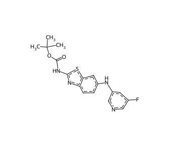 CC(C)(C)OC(=O)Nc1nc2ccc(Nc3cncc(F)c3)cc2s1